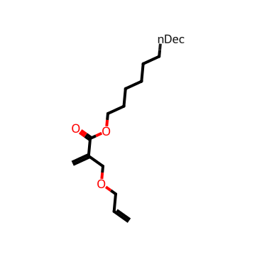 C=CCOCC(=C)C(=O)OCCCCCCCCCCCCCCCC